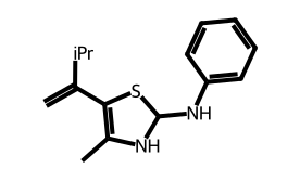 C=C(C1=C(C)NC(Nc2ccccc2)S1)C(C)C